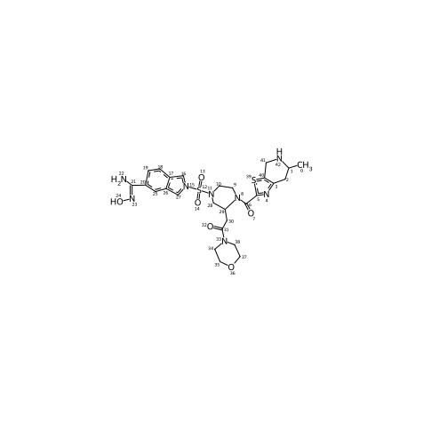 CC1Cc2nc(C(=O)N3CCN(S(=O)(=O)n4cc5ccc(C(N)=NO)cc5c4)CC3CC(=O)N3CCOCC3)sc2CN1